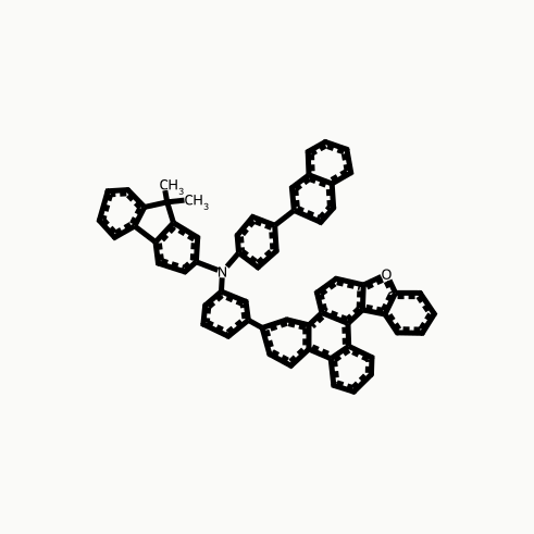 CC1(C)c2ccccc2-c2ccc(N(c3ccc(-c4ccc5ccccc5c4)cc3)c3cccc(-c4ccc5c6ccccc6c6c(ccc7oc8ccccc8c76)c5c4)c3)cc21